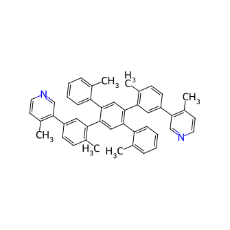 Cc1ccncc1-c1ccc(C)c(-c2cc(-c3ccccc3C)c(-c3cc(-c4cnccc4C)ccc3C)cc2-c2ccccc2C)c1